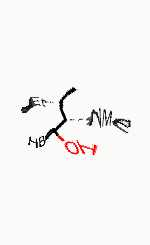 B=C(O)[C@@H](NC)[C@@H](C)CC